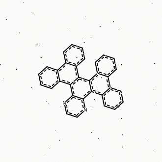 c1ccc2c(c1)c1ccccc1c1c2c2nccnc2c2c3ccccc3c3ccccc3c21